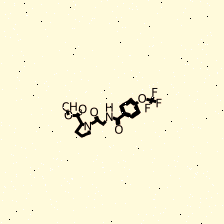 COC(=O)C1CCCN1C(=O)CNC(=O)c1ccc(OC(F)(F)F)cc1